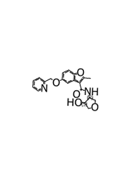 Cc1oc2ccc(OCc3ccccn3)cc2c1C(=O)N[C@@H]1COC[C@H]1O